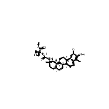 COC(=O)C1(NC(=O)NC2(C)CC[C@]3(C)CC[C@]4(C)C5=CC=C6C(=CC(=O)C(O)=C6C)[C@]5(C)CC[C@@]4(C)[C@@H]3C2)COC1